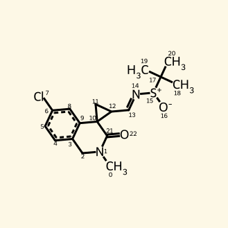 CN1Cc2ccc(Cl)cc2C2(CC2/C=N/[S+]([O-])C(C)(C)C)C1=O